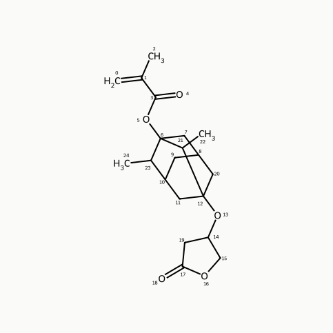 C=C(C)C(=O)OC12CC3CC(CC(OC4COC(=O)C4)(C3)C1C)C2C